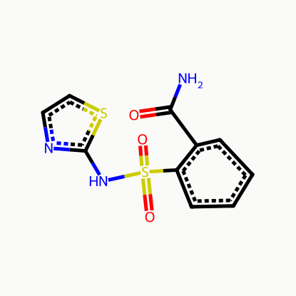 NC(=O)c1ccccc1S(=O)(=O)Nc1nccs1